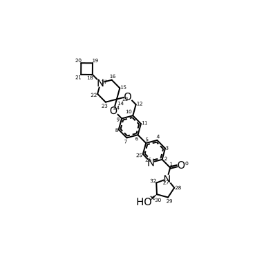 O=C(c1ccc(-c2ccc3c(c2)COC2(CCN(C4CCC4)CC2)O3)cn1)N1CC[C@@H](O)C1